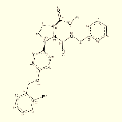 COC(=O)[C@@H]1CC[C@H](c2ccc(OCc3ccccc3F)cc2)N1C(=O)OCc1ccccc1